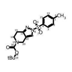 Cc1ccc(S(=O)(=O)n2cc3c(n2)CCN(C(=O)OC(C)(C)C)C3)cc1